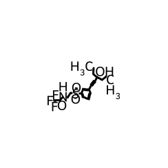 CCCC(O)(C#Cc1cccc(S(=O)(=O)CCNC(=O)C(F)(F)F)c1)CCC